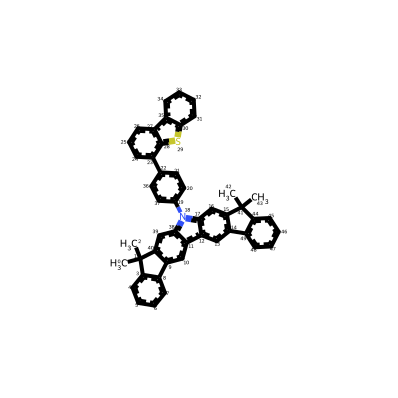 CC1(C)c2ccccc2-c2cc3c4cc5c(cc4n(-c4ccc(-c6cccc7c6sc6ccccc67)cc4)c3cc21)C(C)(C)c1ccccc1-5